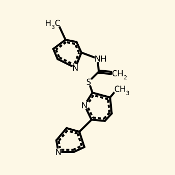 C=C(Nc1cc(C)ccn1)Sc1nc(-c2ccncc2)ccc1C